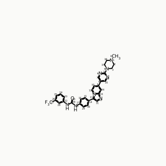 CN1CCN(c2ncc(-c3ccn4c(-c5ccc(NC(=O)Nc6cccc(C(F)(F)F)c6)cc5)cnc4c3)cn2)CC1